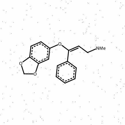 CNCC=C(Oc1ccc2c(c1)OCO2)c1ccccc1